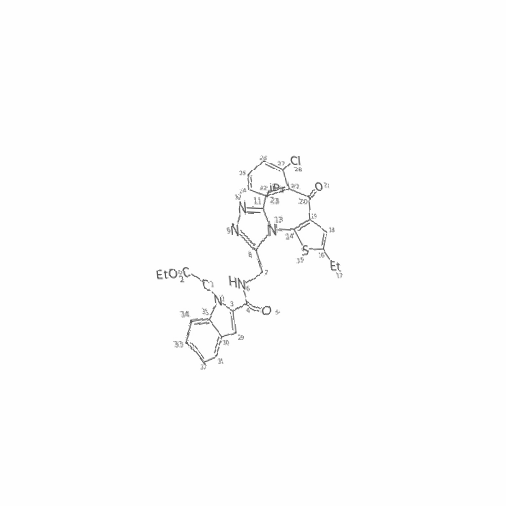 CCOC(=O)Cn1c(C(=O)NCc2nnc(C(C)C)n2-c2sc(CC)cc2C(=O)c2ccccc2Cl)cc2ccccc21